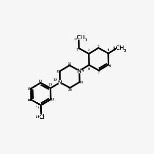 CCC1CC(C)C=CC1N1CCN(c2cccc(Cl)c2)CC1